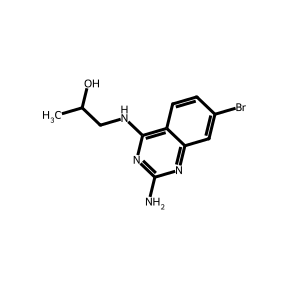 CC(O)CNc1nc(N)nc2cc(Br)ccc12